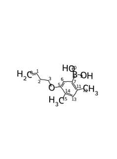 C=CCCOc1cc(B(O)O)c(C)cc1C